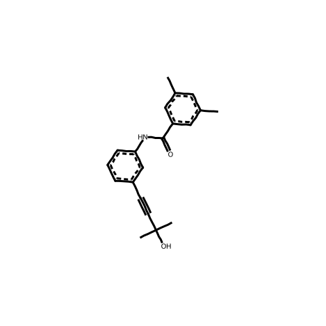 Cc1cc(C)cc(C(=O)Nc2cccc(C#CC(C)(C)O)c2)c1